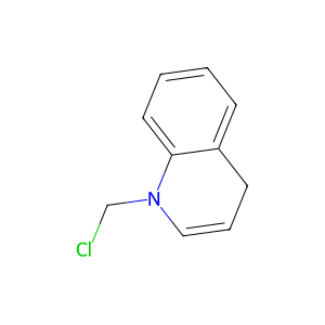 ClCN1C=CCc2ccccc21